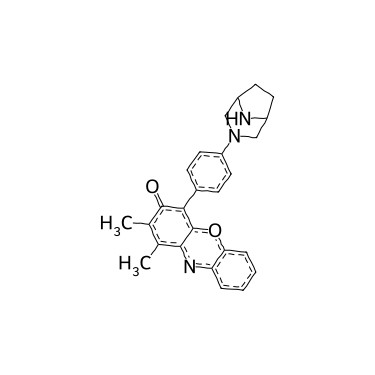 Cc1c2nc3ccccc3oc-2c(-c2ccc(N3CC4CCC(C3)N4)cc2)c(=O)c1C